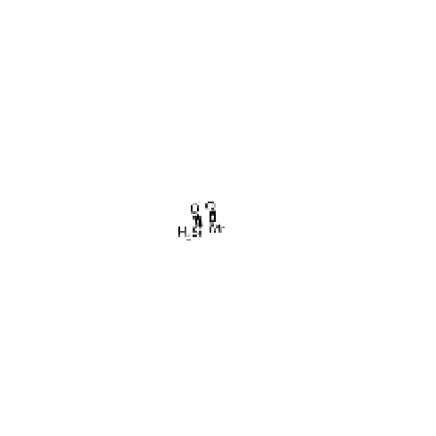 O=[SiH2].[O]=[Mn]